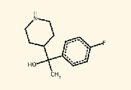 CC(O)(c1ccc(F)cc1)C1CCNCC1